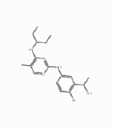 CCC(CC)Nc1nc(Nc2ccc(Br)c(C(C)O)c2)ncc1C